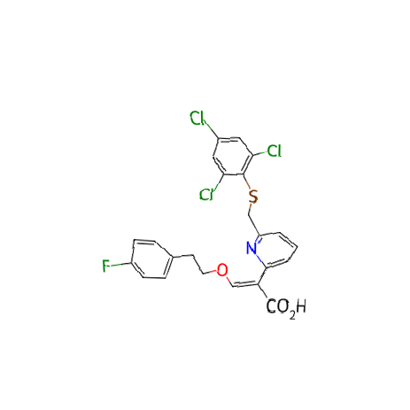 O=C(O)C(=COCCc1ccc(F)cc1)c1cccc(CSc2c(Cl)cc(Cl)cc2Cl)n1